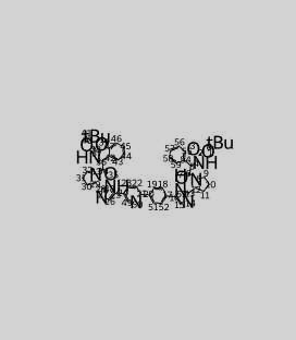 CC(C)(C)OC(=O)NC(C(=O)N1CCC[C@H]1c1ncc(-c2ccc(-c3ccc(-c4cnc([C@@H]5CCCN5C(=O)[C@H](NC(=O)OC(C)(C)C)c5ccccc5)[nH]4)cn3)cc2)[nH]1)c1ccccc1